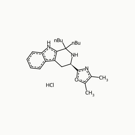 CCCCC1(CCCC)N[C@@H](c2nc(C)c(C)o2)Cc2c1[nH]c1ccccc21.Cl